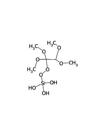 COC(OC)C(OC)(OC)OO[Si](O)(O)O